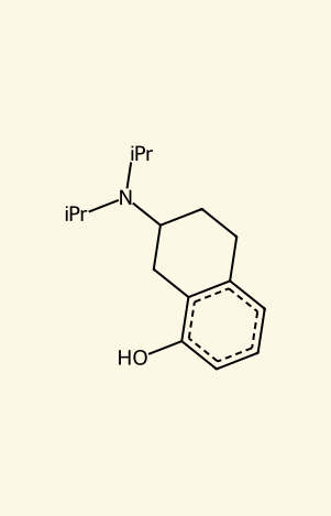 CC(C)N(C(C)C)C1CCc2cccc(O)c2C1